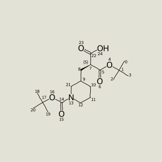 CC(C)(C)OC(=O)[C@@H](CC1CCCN(C(=O)OC(C)(C)C)C1)C(=O)O